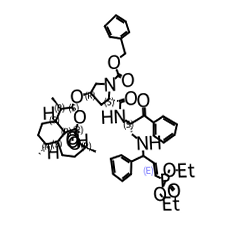 CCOP(=O)(/C=C/C(NC[C@H](NC(=O)[C@@H]1C[C@@H](O[C@H]2O[C@@H]3O[C@@]4(C)CC[C@H]5[C@H](C)CC[C@@H]([C@H]2C)[C@@]35OO4)CN1C(=O)OCc1ccccc1)C(=O)c1ccccc1)c1ccccc1)OCC